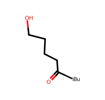 CCC(C)C(=O)CCCCO